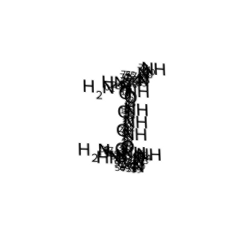 NCCCNc1nc(NC(=O)OCCCNC(=O)CCNCCC(=O)NCCCOC(=O)Nc2cc3c(-c4ccnc(N5CCNCC5)c4)cccc3c(NCCCN)n2)cc2c(-c3ccnc(N4CCNCC4)c3)cccc12